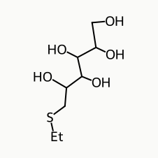 CCSCC(O)C(O)C(O)C(O)CO